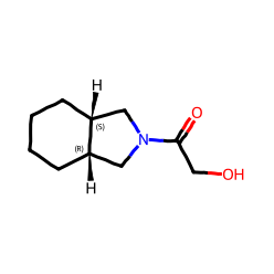 O=C(CO)N1C[C@H]2CCCC[C@H]2C1